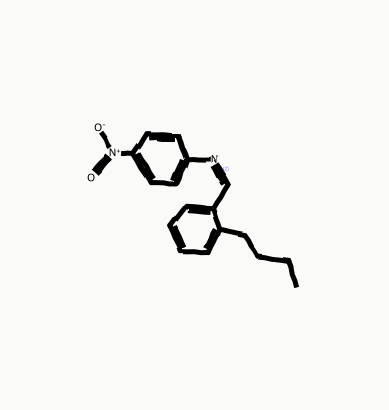 CCCCc1ccccc1/C=N\c1ccc([N+](=O)[O-])cc1